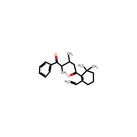 C=CC1=C(C(=O)CC(C)C(C)C(=O)c2ccccc2)C(C)(C)CCC1